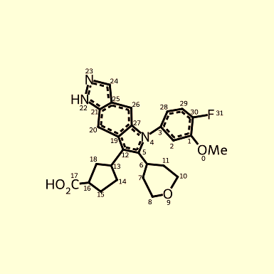 COc1cc(-n2c(C3CCOCC3)c(C3CCC(C(=O)O)C3)c3cc4[nH]ncc4cc32)ccc1F